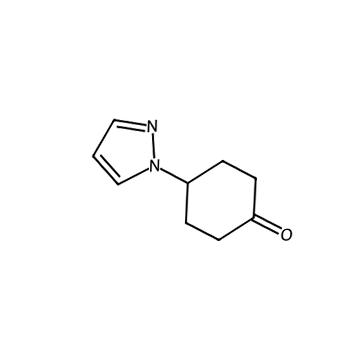 O=C1CCC(n2cccn2)CC1